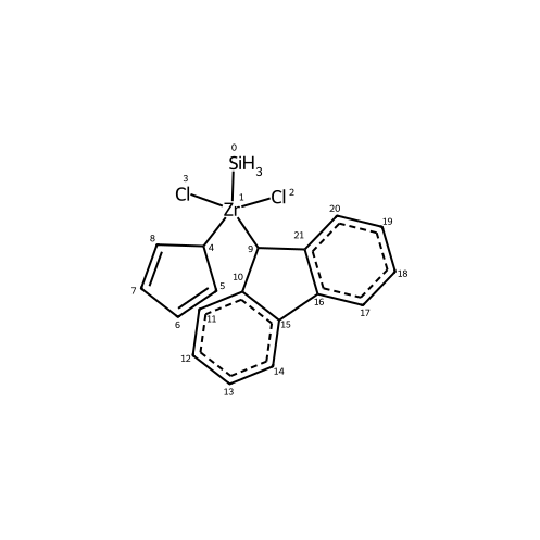 [SiH3][Zr]([Cl])([Cl])([CH]1C=CC=C1)[CH]1c2ccccc2-c2ccccc21